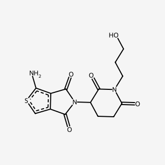 Nc1scc2c1C(=O)N(C1CCC(=O)N(CCCO)C1=O)C2=O